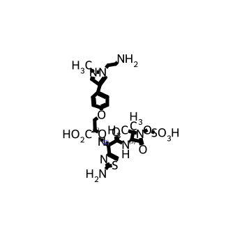 C[n+]1cc(-c2ccc(OC[C@H](O/N=C(\C(=O)N[C@@H]3C(=O)N(OS(=O)(=O)O)C3(C)C)c3csc(N)n3)C(=O)O)cc2)cn1CCN